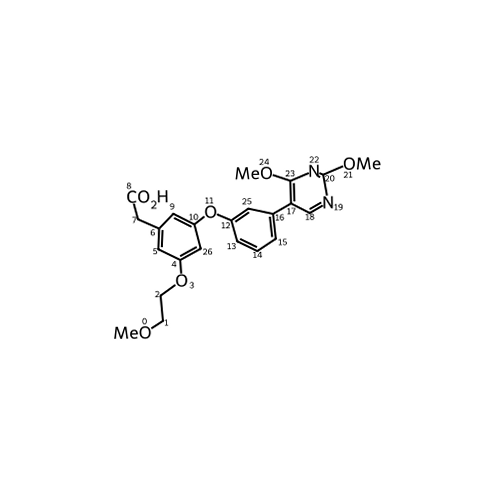 COCCOc1cc(CC(=O)O)cc(Oc2cccc(-c3cnc(OC)nc3OC)c2)c1